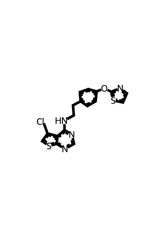 Clc1csc2ncnc(NCCc3ccc(Oc4nccs4)cc3)c12